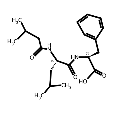 CC(C)CC(=O)N[C@@H](CC(C)C)C(=O)N[C@@H](Cc1ccccc1)C(=O)O